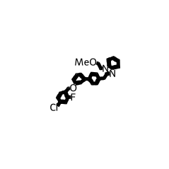 COCCn1c(Cc2ccc(-c3cccc(OCc4ccc(Cl)cc4F)c3)cc2)nc2ccccc21